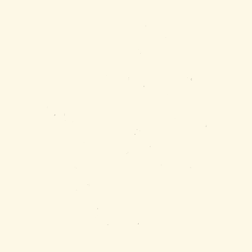 CC1CC2C(=CC=CCC2(C)C)[CH]1[Zr](=[C]1CCCCC1)[CH]1C2=CC=CCC(C)(C)C2CC1C.Cl.Cl